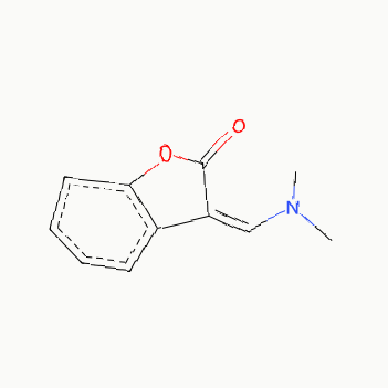 CN(C)C=C1C(=O)Oc2ccccc21